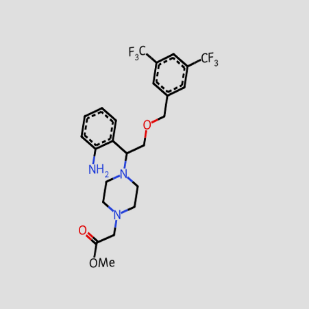 COC(=O)CN1CCN(C(COCc2cc(C(F)(F)F)cc(C(F)(F)F)c2)c2ccccc2N)CC1